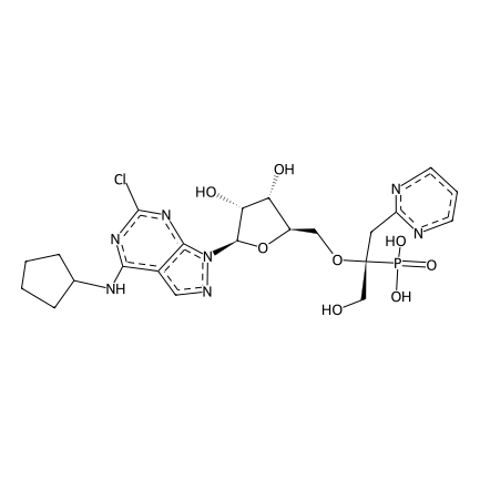 O=P(O)(O)[C@@](CO)(Cc1ncccn1)OC[C@H]1O[C@@H](n2ncc3c(NC4CCCC4)nc(Cl)nc32)[C@H](O)[C@@H]1O